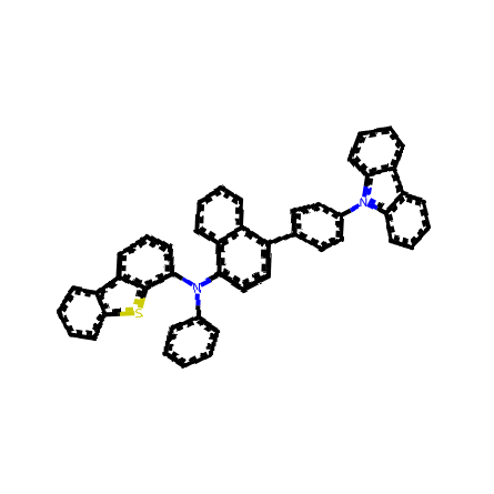 c1ccc(N(c2ccc(-c3ccc(-n4c5ccccc5c5ccccc54)cc3)c3ccccc23)c2cccc3c2sc2ccccc23)cc1